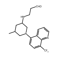 CC1CC(NCCC=O)CN(c2ccc(C(F)(F)F)c3ncccc23)C1